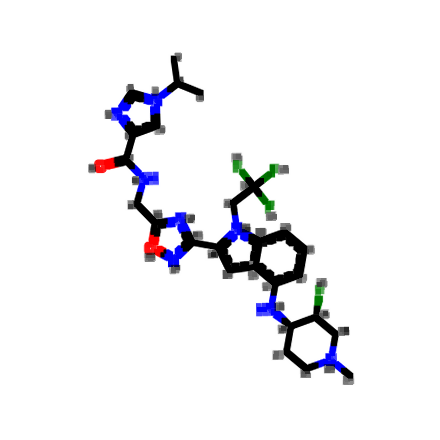 CC(C)n1cnc(C(=O)NCc2nc(-c3cc4c(N[C@@H]5CCN(C)C[C@@H]5F)cccc4n3CC(F)(F)F)no2)c1